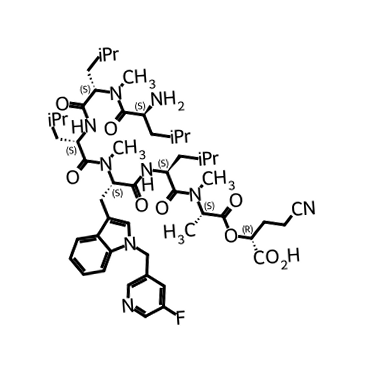 CC(C)C[C@H](NC(=O)[C@H](Cc1cn(Cc2cncc(F)c2)c2ccccc12)N(C)C(=O)[C@H](CC(C)C)NC(=O)[C@H](CC(C)C)N(C)C(=O)[C@@H](N)CC(C)C)C(=O)N(C)[C@@H](C)C(=O)O[C@H](CCC#N)C(=O)O